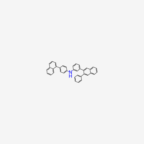 c1ccc(-c2cc3ccccc3cc2-c2cccc(Nc3ccc(-c4cccc5ccccc45)cc3)c2)cc1